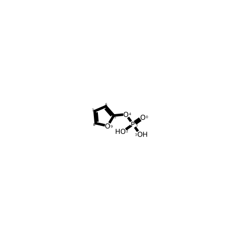 O=P(O)(O)Oc1ccco1